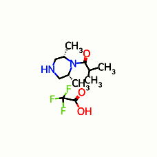 CC(C)C(=O)N1[C@H](C)CNC[C@@H]1C.O=C(O)C(F)(F)F